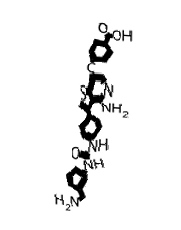 NCc1cccc(NC(=O)Nc2ccc(-c3csc4c(Cc5ccc(C(=O)O)cc5)cnc(N)c34)cc2)c1